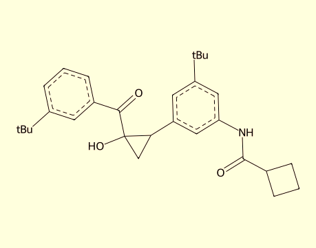 CC(C)(C)c1cccc(C(=O)C2(O)CC2c2cc(NC(=O)C3CCC3)cc(C(C)(C)C)c2)c1